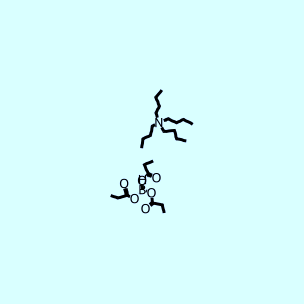 CCC(=O)O[BH-](OC(=O)CC)OC(=O)CC.CCCC[N+](CCCC)(CCCC)CCCC